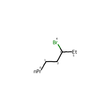 [CH2]CCCCC(Br)CC